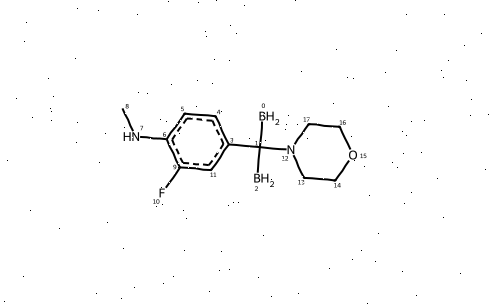 BC(B)(c1ccc(NC)c(F)c1)N1CCOCC1